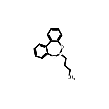 CCCCp1oc2ccccc2c2ccccc2o1